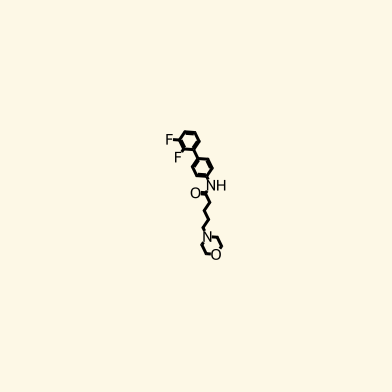 O=C(CCCCN1CCOCC1)Nc1ccc(-c2cccc(F)c2F)cc1